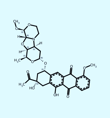 COc1cccc2c1C(=O)c1cc3c(c(O)c1C2=O)C[C@@](O)(C(C)=O)C[C@@H]3O[C@H]1C[C@H]2[C@H](O[C@@H]3[C@@H](OC)OCCN32)[C@H](C)O1